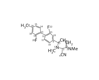 C=C(NC)C(C#N)N(C)C(=C)c1ccc(-c2ccc(C)cc2F)c(F)c1